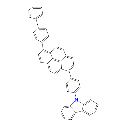 c1ccc(-c2ccc(-c3ccc4ccc5c(-c6ccc(-n7c8ccccc8c8ccccc87)cc6)ccc6ccc3c4c65)cc2)cc1